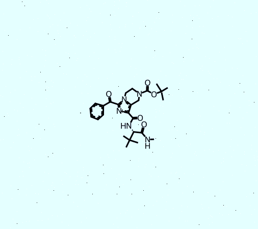 CNC(=O)[C@@H](NC(=O)c1nc(C(=O)c2ccccc2)n2c1CN(C(=O)OC(C)(C)C)CC2)C(C)(C)C